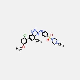 COc1ccc(Cl)c(-c2cc(C)c3nc(Nc4ccc(S(=O)(=O)N5CCN(C)CC5)cc4)nnc3c2)c1